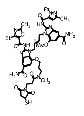 CCc1nc(C)oc1C(=O)Nc1nc2cc(C(N)=O)cc(OCCCN(C)C(=O)CCN3C(=O)CC(S)C3=O)c2n1C/C=C/Cn1c(NC(=O)c2cc(C)nn2CC)nc2cc(C(N)=O)cc(OC)c21